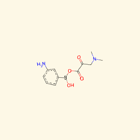 CN(C)CC(=O)C(=O)OB(O)c1cccc(N)c1